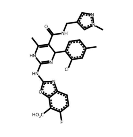 CC1=C(C(=O)NCc2cnn(C)c2)C(c2ccc(C)cc2Cl)N=C(Nc2nc3ccc(F)c(C(=O)O)c3o2)N1